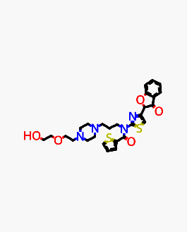 O=C1c2ccccc2OC1c1csc(N(CCCN2CCN(CCOCCO)CC2)C(=O)c2cccs2)n1